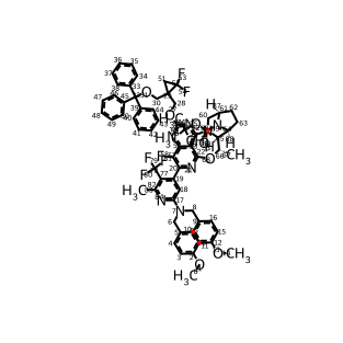 COc1ccc(CN(Cc2ccc(OC)cc2)c2cc(-c3nc4c5c(nc(OCC6(COC(c7ccccc7)(c7ccccc7)c7ccccc7)CC6(F)F)nc5c3F)N3C[C@H]5CC[C@@H]([C@H]3[C@H](C)O4)N5C(=O)OC(C)(C)C)c(C(F)(F)F)c(C)n2)cc1